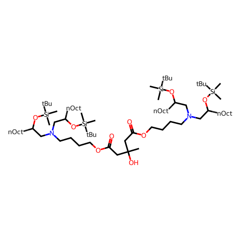 CCCCCCCCC(CN(CCCCOC(=O)CC(C)(O)CC(=O)OCCCCN(CC(CCCCCCCC)O[Si](C)(C)C(C)(C)C)CC(CCCCCCCC)O[Si](C)(C)C(C)(C)C)CC(CCCCCCCC)O[Si](C)(C)C(C)(C)C)O[Si](C)(C)C(C)(C)C